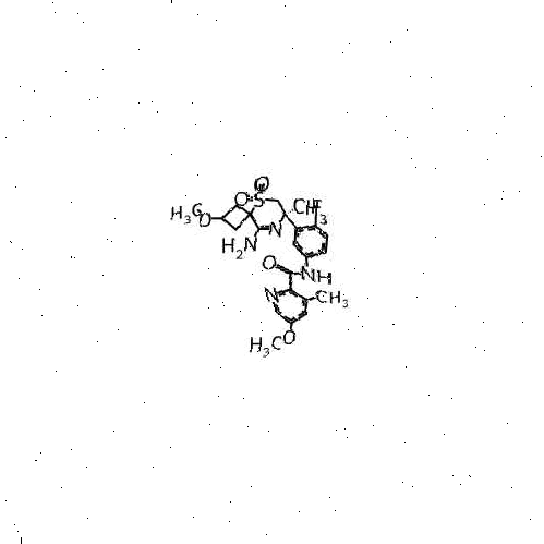 COc1cnc(C(=O)Nc2ccc(F)c([C@]3(C)CS(=O)(=O)C4(CC(OC)C4)C(N)=N3)c2)c(C)c1